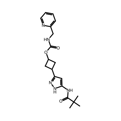 CC(C)(C)C(=O)Nc1cc(C2CC(OC(=O)NCc3ccccn3)C2)n[nH]1